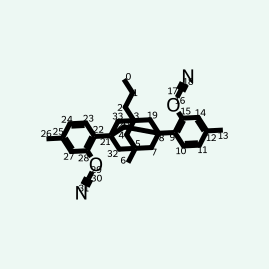 CCCC12CC3(C)CC(c4ccc(C)cc4OC#N)(C1)CC(c1ccc(C)cc1OC#N)(C3)C2